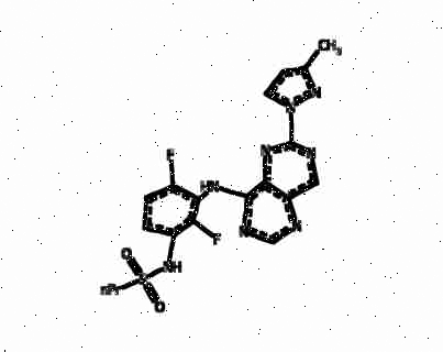 CCCS(=O)(=O)Nc1ccc(F)c(Nc2ncnc3cnc(-n4ccc(C)n4)nc23)c1F